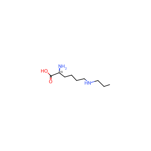 CCCNCCCC[C@H](N)C(=O)O